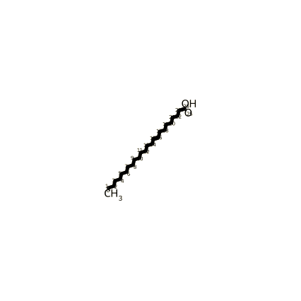 CCCCCCCCCCCCCCCC=CCCCCCCCC(=O)O